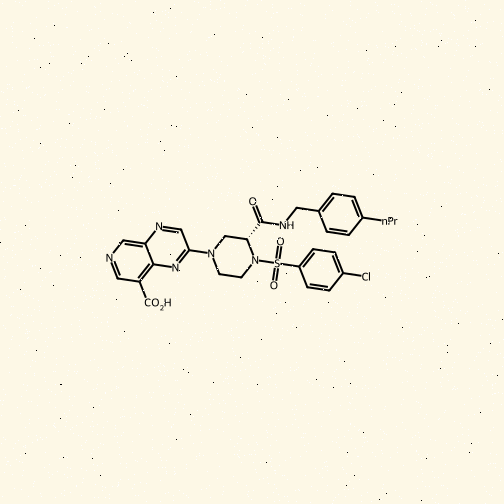 CCCc1ccc(CNC(=O)[C@H]2CN(c3cnc4cncc(C(=O)O)c4n3)CCN2S(=O)(=O)c2ccc(Cl)cc2)cc1